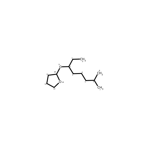 CCC(CCCC(C)C)OC1CCCO1